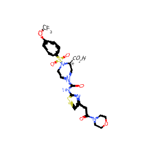 O=C(O)[C@H]1CN(C(=O)Nc2nc(CC(=O)N3CCOCC3)cs2)CCN1S(=O)(=O)c1ccc(OC(F)(F)F)cc1